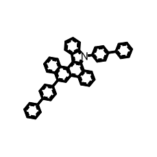 c1ccc(-c2ccc(-c3cc4c5ccccc5c5c(c6ccccc6n5-c5ccc(-c6ccccc6)cc5)c4c4ccccc34)cc2)cc1